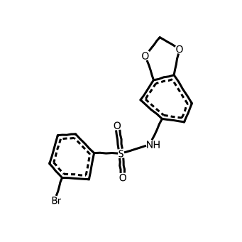 O=S(=O)(Nc1ccc2c(c1)OCO2)c1cccc(Br)c1